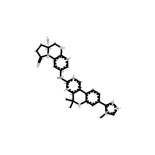 Cn1cnnc1-c1ccc2c(c1)OC(C)(C)c1nc(Nc3cnc4c(c3)N3C(=O)CC[C@H]3CO4)ncc1-2